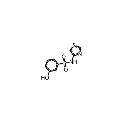 O=S(=O)(Nc1cscn1)c1cccc(O)c1